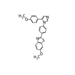 COc1ccc(-c2cncn2-c2ccc(-c3nc4ccc(OC)cc4s3)cc2)cc1